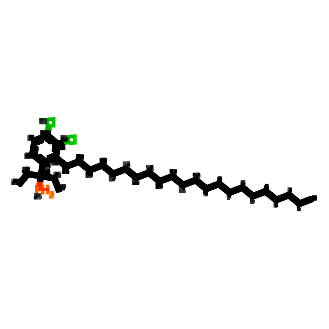 CCCCCCCCCCCCCCCCCCCCCCc1c(C(P)(CC)CC)ccc(Cl)c1Cl